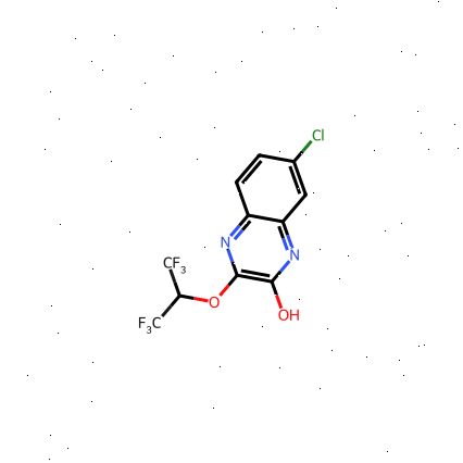 Oc1nc2cc(Cl)ccc2nc1OC(C(F)(F)F)C(F)(F)F